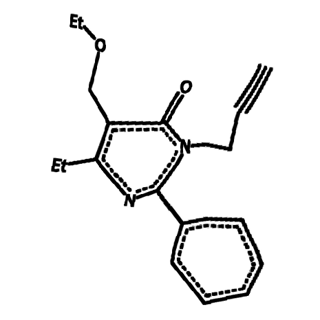 C#CCn1c(-c2ccccc2)nc(CC)c(COCC)c1=O